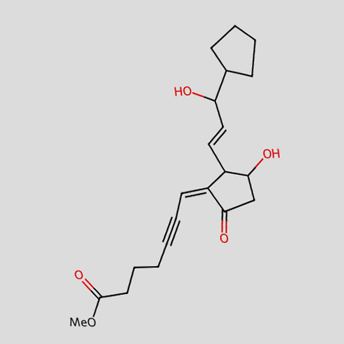 COC(=O)CCCC#C/C=C1\C(=O)CC(O)C1/C=C/C(O)C1CCCC1